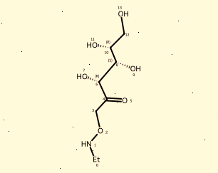 CCNOCC(=O)[C@H](O)[C@@H](O)[C@H](O)CO